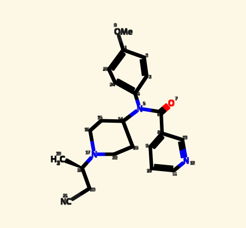 COc1ccc(N(C(=O)c2cccnc2)C2CCN([C@H](C)CC#N)CC2)cc1